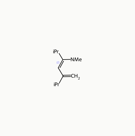 C=C(/C=C(\NC)C(C)C)C(C)C